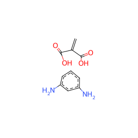 C=C(C(=O)O)C(=O)O.Nc1cccc(N)c1